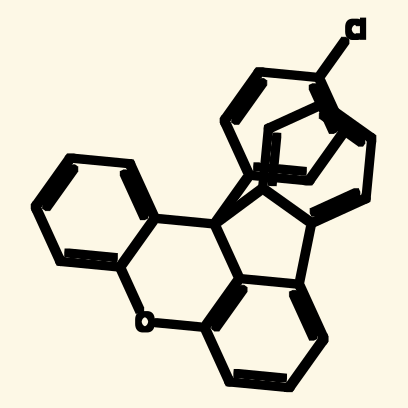 Clc1ccc(C23c4ccccc4Oc4cccc(c42)-c2ccccc23)cc1